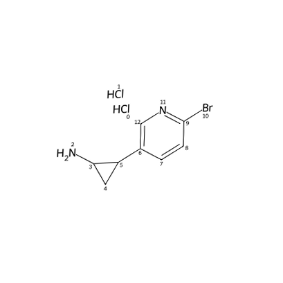 Cl.Cl.NC1CC1c1ccc(Br)nc1